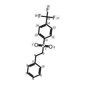 O=S(=O)(CCc1ccccc1)c1ccc(C(F)(F)F)cc1